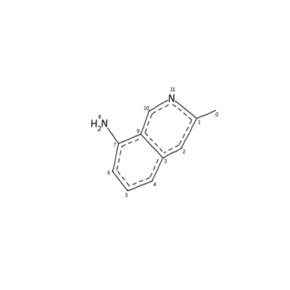 Cc1cc2cccc(N)c2cn1